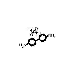 Nc1ccc(-c2ccc(N)cc2)cc1.[O]=[Mo](=[O])([OH])[OH]